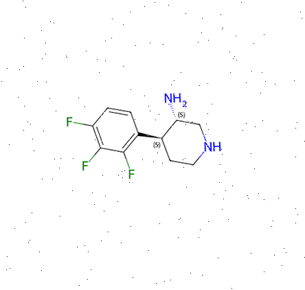 N[C@@H]1CNCC[C@H]1c1ccc(F)c(F)c1F